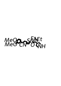 CCN(CC)C(C(=O)Oc1ccc(/C=C(\C#N)c2ccc(OC)c(OC)c2)s1)C1CCNCC1